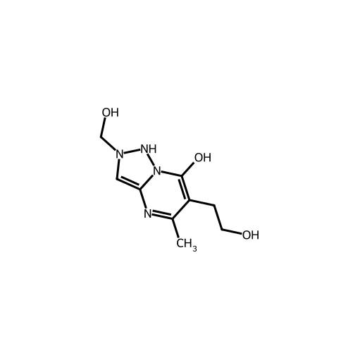 CC1=NC2=CN(CO)NN2C(O)=C1CCO